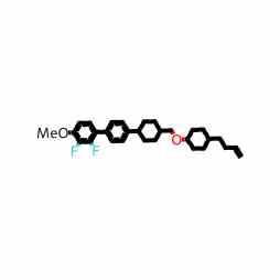 C=CCCC1CCC(OCC2CCC(c3ccc(-c4ccc(OC)c(F)c4F)cc3)CC2)CC1